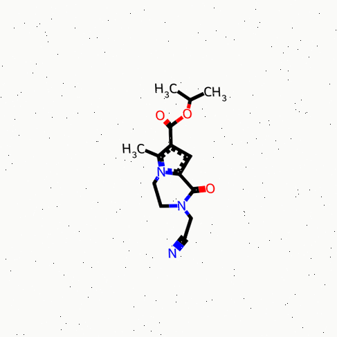 Cc1c(C(=O)OC(C)C)cc2n1CCN(CC#N)C2=O